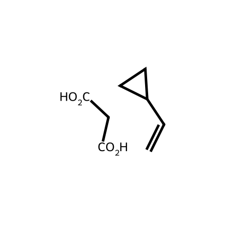 C=CC1CC1.O=C(O)CC(=O)O